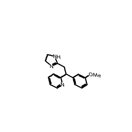 COc1cccc(C(CC2=NCCN2)c2ccccn2)c1